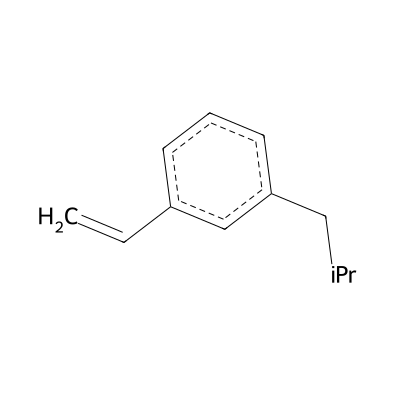 C=Cc1cccc(CC(C)C)c1